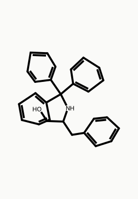 OCC(Cc1ccccc1)NC(c1ccccc1)(c1ccccc1)c1ccccc1